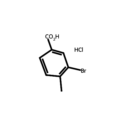 Cc1ccc(C(=O)O)cc1Br.Cl